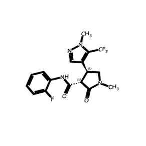 CN1C[C@H](c2cnn(C)c2C(F)(F)F)[C@@H](C(=O)Nc2ccccc2F)C1=O